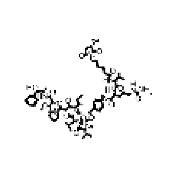 CC[C@H](C)[C@@H]([C@@H](CC(=O)N1CCC[C@H]1C(OC)[C@@H](C)C(=O)N[C@H](C)[C@@H](O)c1ccccc1)OC)N(C)C(=O)[C@@H](NC(=O)[C@H](C(C)C)N(C)C(=O)OCc1ccc(NC(=O)C(CCCNC(N)=O)NC(=O)[C@@H](NC(=O)CCCCCN2C(=O)CC(SC)C2=O)C(C)C)cc1)C(C)C